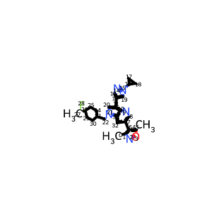 Cc1noc(C)c1-c1cnc2c(-c3cnn(C4CC4)c3)cn(CC3CCC(C)(F)CC3)c2c1